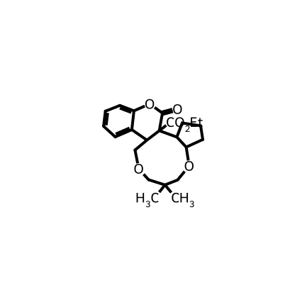 CCOC(=O)C12C(=O)Oc3ccccc3C1COCC(C)(C)COC1CCCC12